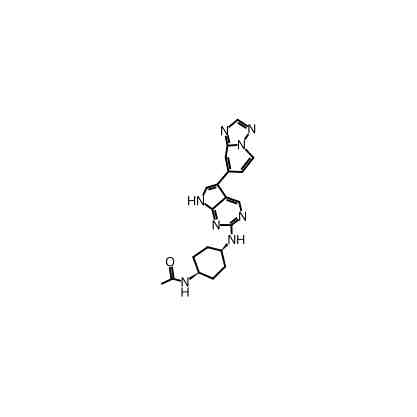 CC(=O)N[C@H]1CC[C@@H](Nc2ncc3c(-c4ccn5ncnc5c4)c[nH]c3n2)CC1